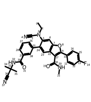 CCN(C#N)c1cc2oc(-c3ccc(F)cc3)c(C(=O)NC)c2cc1-c1cccc(C(=O)NC(C)(C)C#N)c1